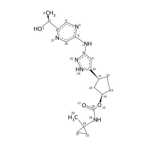 C[C@H](O)c1cnc(Nc2cc([C@H]3CC[C@@H](OC(=O)NC4(C)CC4)C3)[nH]n2)cn1